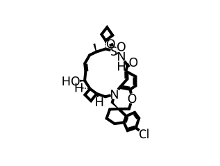 C[C@@H]1C/C=C/[C@H](O)[C@@H]2CC[C@H]2CN2C[C@@]3(CCCc4cc(Cl)ccc43)COc3ccc(cc32)C(=O)NS(=O)(=O)[C@H]1C1CCC1